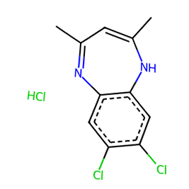 CC1=CC(C)=Nc2cc(Cl)c(Cl)cc2N1.Cl